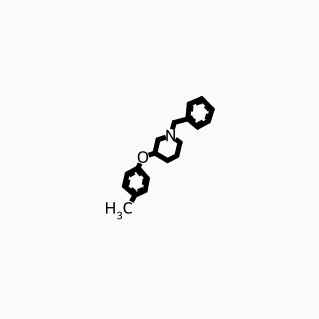 Cc1ccc(OC2CCCN(Cc3ccccc3)C2)cc1